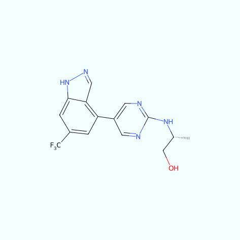 C[C@H](CO)Nc1ncc(-c2cc(C(F)(F)F)cc3[nH]ncc23)cn1